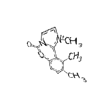 Cc1ccc2oc(=O)n3cc[n+](C)c3c2c1C